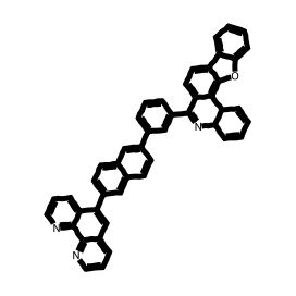 C1=CC2N=C(c3cccc(-c4ccc5cc(-c6cc7cccnc7c7ncccc67)ccc5c4)c3)c3ccc4c(oc5ccccc54)c3C2C=C1